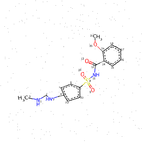 CNCNc1ccc(S(=O)(=O)NC(=O)c2ccccc2OC)cc1